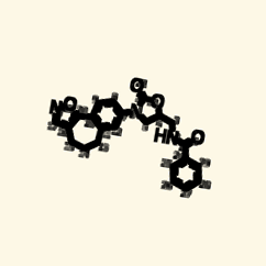 O=C(NCC1CN(c2ccc3c(c2)CCCc2cnoc2-3)C(=O)O1)c1ccccc1